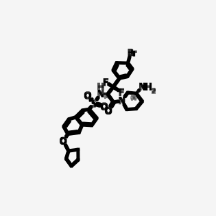 N[C@H]1CCCN(C(=O)[C@H](NS(=O)(=O)c2ccc3cc(OC4CCCC4)ccc3c2)C(F)(F)c2ccc(Br)cc2)C1